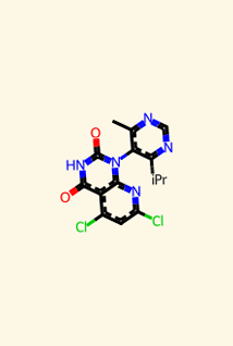 Cc1ncnc(C(C)C)c1-n1c(=O)[nH]c(=O)c2c(Cl)cc(Cl)nc21